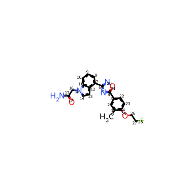 Cc1cc(-c2nc(-c3cccc4c3ccn4CC(N)=O)no2)ccc1OCCF